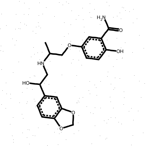 CC(COc1ccc(O)c(C(N)=O)c1)NCC(O)c1ccc2c(c1)OCO2